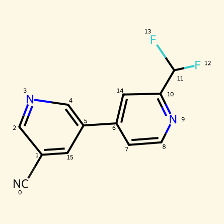 N#Cc1cncc(-c2ccnc(C(F)F)c2)c1